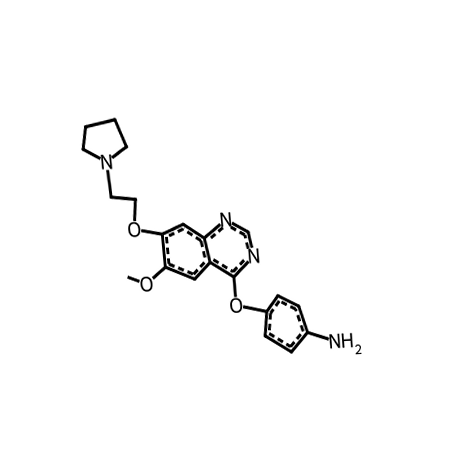 COc1cc2c(Oc3ccc(N)cc3)ncnc2cc1OCCN1CCCC1